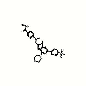 CN(Cc1nc2c(N3CCOCC3)nc(-c3ccc(S(C)(=O)=O)cc3)nc2n1C)c1ncc(C(=O)NO)cn1